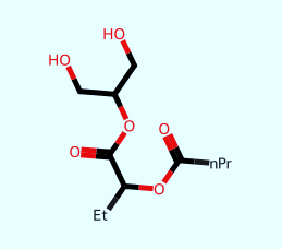 CCCC(=O)OC(CC)C(=O)OC(CO)CO